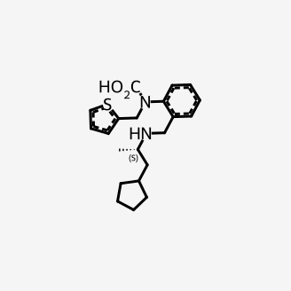 C[C@@H](CC1CCCC1)NCc1ccccc1N(Cc1cccs1)C(=O)O